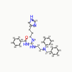 O=C(NC(=NCCCc1c[nH]cn1)NCCN(Cc1ccccc1)c1ccccc1)c1ccccc1